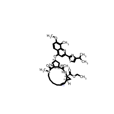 C=C1N[C@]2(C(=O)OCC)C[C@H]2/C=C\CCCCN(C)C(=O)[C@@H]2C[C@H](Oc3cc(-c4nc(C(C)C)cs4)nc4c(C)c(OC)ccc34)C[C@@H]12